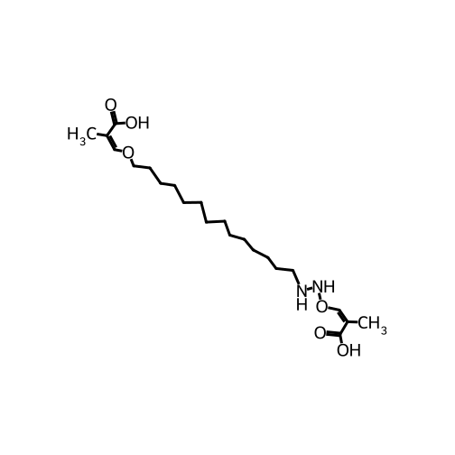 CC(=COCCCCCCCCCCCCCCNNOC=C(C)C(=O)O)C(=O)O